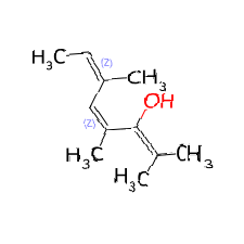 C/C=C(C)\C=C(\C)C(O)=C(C)C